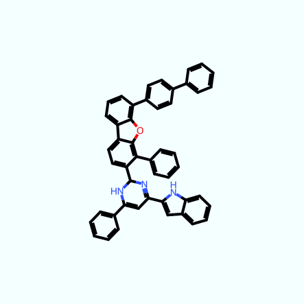 C1=C(c2ccccc2)NC(c2ccc3c(oc4c(-c5ccc(-c6ccccc6)cc5)cccc43)c2-c2ccccc2)N=C1c1cc2ccccc2[nH]1